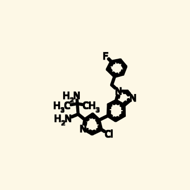 CC(C)(N)C(N)c1cc(-c2ccc3ncn(Cc4cccc(F)c4)c3c2)c(Cl)cn1